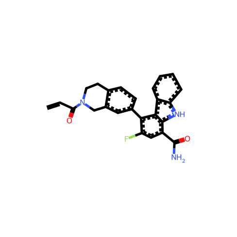 C=CC(=O)N1CCc2ccc(-c3c(F)cc(C(N)=O)c4[nH]c5ccccc5c34)cc2C1